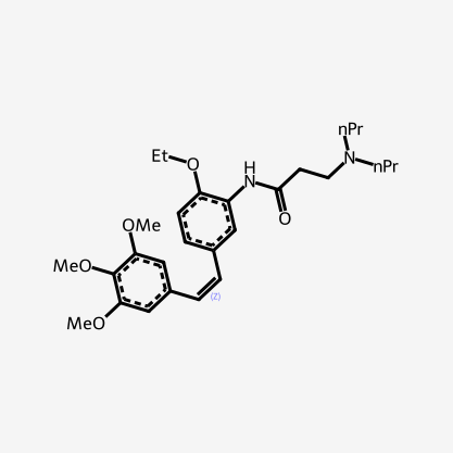 CCCN(CCC)CCC(=O)Nc1cc(/C=C\c2cc(OC)c(OC)c(OC)c2)ccc1OCC